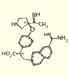 CC(=N)[C@@]1(Oc2ccc([C@@H](Cc3ccc4ccc(C(=N)N)cc4c3)C(=O)O)cc2)CCNC1